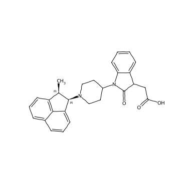 C[C@@H]1c2cccc3cccc(c23)[C@@H]1N1CCC(N2C(=O)C(CC(=O)O)c3ccccc32)CC1